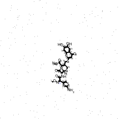 CO/N=C(\C(=O)N[C@@H]1C(=O)N2C(C(=O)[O-])=C(CSc3cc(=O)c4cc(O)c(O)cc4s3)CS[C@@H]12)c1csc(N)n1.[Na+]